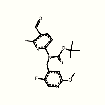 COc1cc(CN(C(=O)OC(C)(C)C)c2ccc(C=O)c(F)n2)c(F)cn1